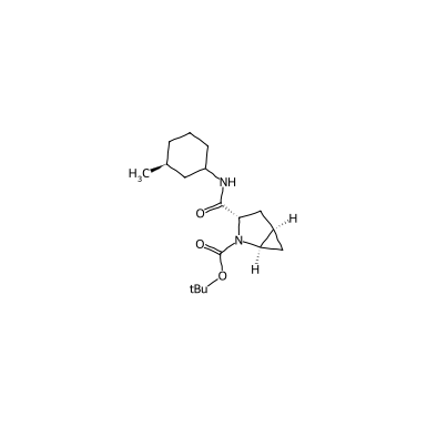 C[C@H]1CCCC(NC(=O)[C@@H]2C[C@H]3C[C@H]3N2C(=O)OC(C)(C)C)C1